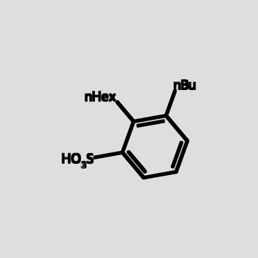 CCCCCCc1c(CCCC)cccc1S(=O)(=O)O